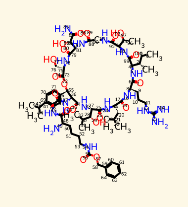 CC[C@H](C)C1NC(=O)[C@@H](CCCNC(=N)N)NC(=O)[C@H](CC(C)C)NC(=O)[C@H]([C@H](O)C(C)C)NC(=O)[C@@H](NC(=O)[C@H](CC(C)C)NC(=O)[C@H](N)CCCCNC(=O)OCc2ccccc2)[C@@H](c2ccccc2)OC(=O)[C@H](CO)NC(=O)[C@H]([C@H](O)C(N)=O)NC(=O)CNC(=O)C([C@H](C)O)NC1=O